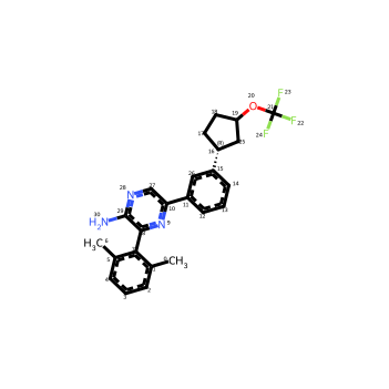 Cc1cccc(C)c1-c1nc(-c2cccc([C@@H]3CCC(OC(F)(F)F)C3)c2)cnc1N